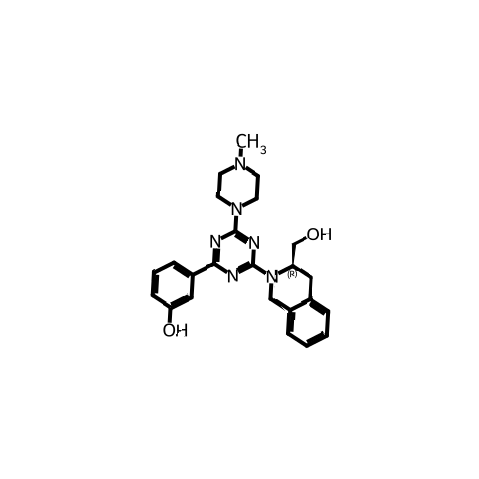 CN1CCN(c2nc(-c3cccc(O)c3)nc(N3Cc4ccccc4C[C@@H]3CO)n2)CC1